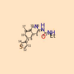 CCNC(=O)Nc1cc2cc(-c3ccsc3)cc(C)c2cn1